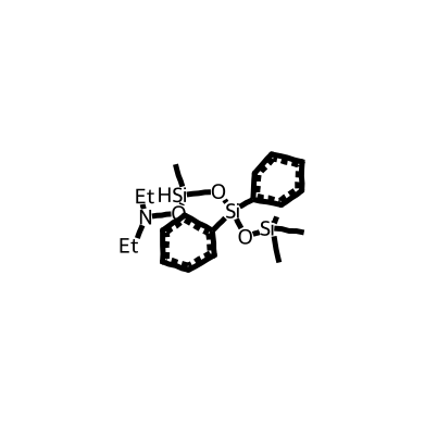 CCN(CC)O[SiH](C)O[Si](O[Si](C)(C)C)(c1ccccc1)c1ccccc1